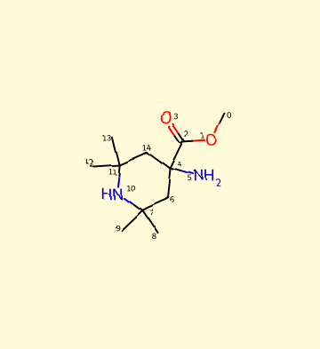 COC(=O)C1(N)CC(C)(C)NC(C)(C)C1